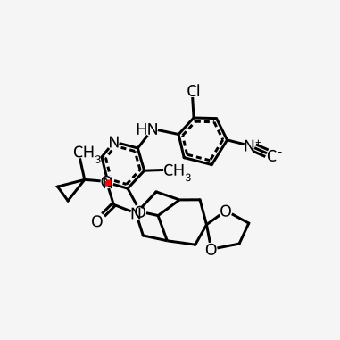 [C-]#[N+]c1ccc(Nc2ncnc(OC3C4CN(C(=O)OC5(C)CC5)CC3CC3(C4)OCCO3)c2C)c(Cl)c1